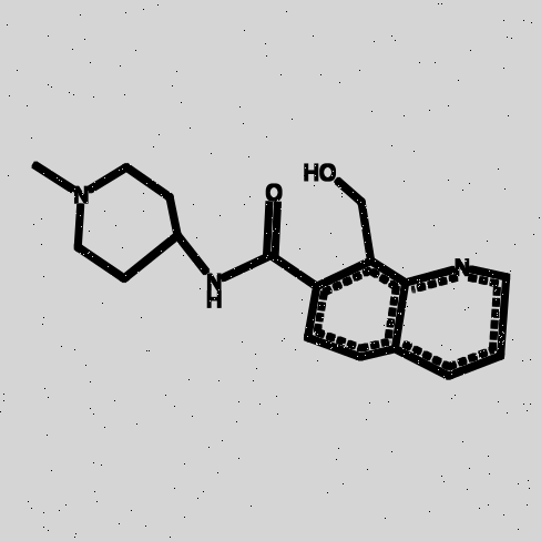 CN1CCC(NC(=O)c2ccc3cccnc3c2CO)CC1